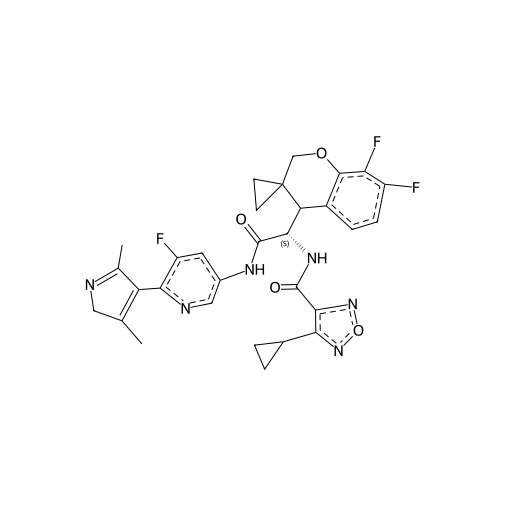 CC1=NCC(C)=C1c1ncc(NC(=O)[C@@H](NC(=O)c2nonc2C2CC2)C2c3ccc(F)c(F)c3OCC23CC3)cc1F